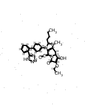 CCCCC1N(C)C2=C(C(=C=O)N3C(=O)C(OCC)=C(O)C3C2)N1c1ccc(-c2ccccc2-c2nnn[nH]2)cc1